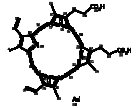 C=CC1=C(C)c2cc3[nH]c(cc4nc(cc5[nH]c(cc1n2)c(C)c5CCC(=O)O)C(CCC(=O)O)=C4C)c(C)c3C=C.[As]